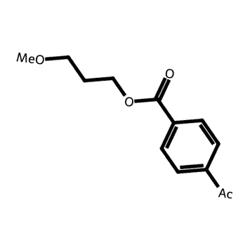 COCCCOC(=O)c1ccc(C(C)=O)cc1